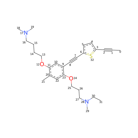 CC#Cc1ccc(C#Cc2cc(OCCCCN(C)C)c(C)cc2OCCCN(C)CC)s1